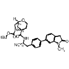 CN1C(=O)Cc2ccc(-c3ccc(C[C@@H](C#N)NC(=O)[C@@]45CCO[C@@H](CN4C(=O)OC(C)(C)C)C5)cc3)cc21